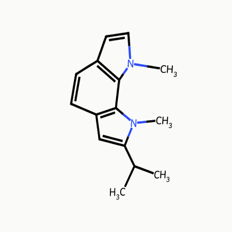 CC(C)c1cc2ccc3ccn(C)c3c2n1C